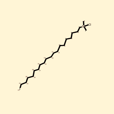 C[Si](C)(Cl)CCCCCCCCCCCCCCCCCCCI